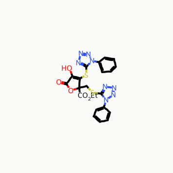 CCOC(=O)C1(CSc2nnnn2-c2ccccc2)OC(=O)C(O)=C1Sc1nnnn1-c1ccccc1